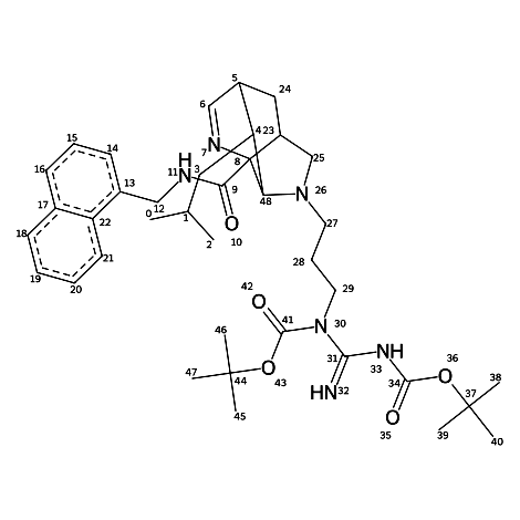 CC(C)CC1C2C=NC3(C(=O)NCc4cccc5ccccc45)C(C2)CN(CCCN(C(=N)NC(=O)OC(C)(C)C)C(=O)OC(C)(C)C)C13